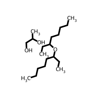 CC(O)CO.CCCCCC(CC)OC(CC)CCCCC